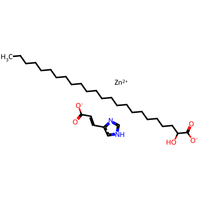 CCCCCCCCCCCCCCCCCCCCCCC(O)C(=O)[O-].O=C([O-])C=Cc1c[nH]cn1.[Zn+2]